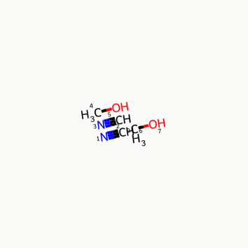 C#N.C#N.CO.CO